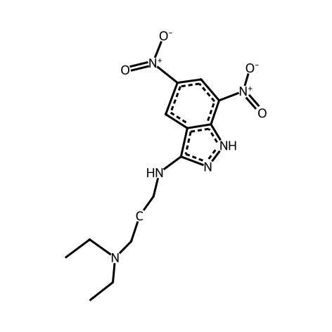 CCN(CC)CCCNc1n[nH]c2c([N+](=O)[O-])cc([N+](=O)[O-])cc12